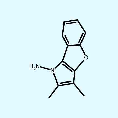 Cc1c(C)n(N)c2c1oc1ccccc12